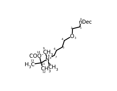 CCCCCCCCCCCCOCCCC[N+](C)(C)C(C)(C)C(=O)[O-]